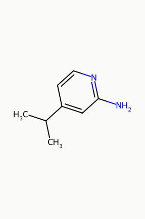 CC(C)c1ccnc(N)c1